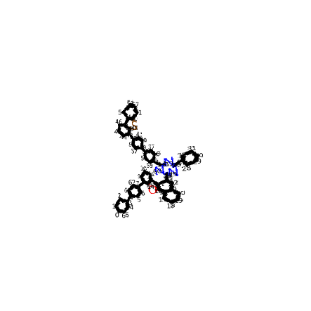 c1ccc(-c2ccc(-c3cccc4c3oc3c5ccccc5cc(-c5nc(-c6ccccc6)nc(-c6ccc(-c7ccc(-c8cccc9c8sc8ccccc89)cc7)cc6)n5)c43)cc2)cc1